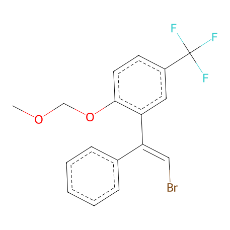 COCOc1ccc(C(F)(F)F)cc1C(=CBr)c1ccccc1